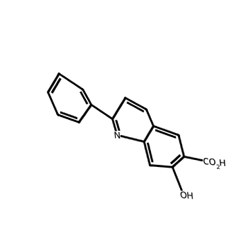 O=C(O)c1cc2ccc(-c3ccccc3)nc2cc1O